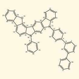 c1ccc(-c2cccc(-c3ccc(-n4c5ccccc5c5cc6c7c8oc9ccccc9c8ccc7n(-c7ccccc7)c6cc54)cc3)c2)cc1